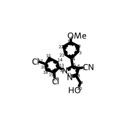 COc1ccc(-c2c(C#N)c(CO)nn2-c2ccc(Cl)cc2Cl)cc1